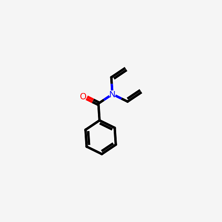 C=CN(C=C)C(=O)c1ccccc1